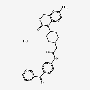 Cc1ccc2c(c1)COC(=O)N2C1CCN(CC(=O)Nc2ccc(C(=O)c3ccccc3)cc2)CC1.Cl